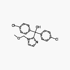 COCn1ccnc1C(O)(c1ccc(Cl)cc1)c1ccc(Cl)cc1